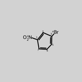 O=[N+]([O-])c1[c]c(Br)ccc1